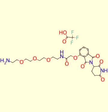 NCCOCCOCCOCCNC(=O)COc1cccc2c1C(=O)N(C1CCC(=O)NC1=O)C2=O.O=C(O)C(F)(F)F